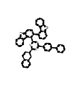 C1=CC(c2nc(-c3ccc(-c4ccccc4)cc3)nc(-c3c(-c4cccc5oc6ccccc6c45)ccc4oc5ccccc5c34)n2)Cc2ccccc21